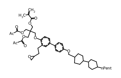 C=C(C)C(=O)OCC(COC(=O)C(C)=O)(COC(=O)C(C)=O)COc1ccc(-c2ccc(OCC3CCC(C4CCC(CCCCC)CC4)CC3)cc2)cc1CCC1CO1